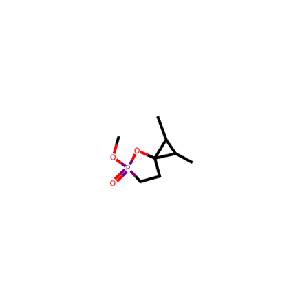 COP1(=O)CCC2(O1)C(C)C2C